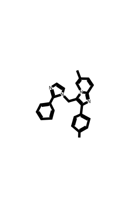 Cc1ccc(-c2nc3ccc(C)cn3c2Cn2ccnc2-c2ccccc2)cc1